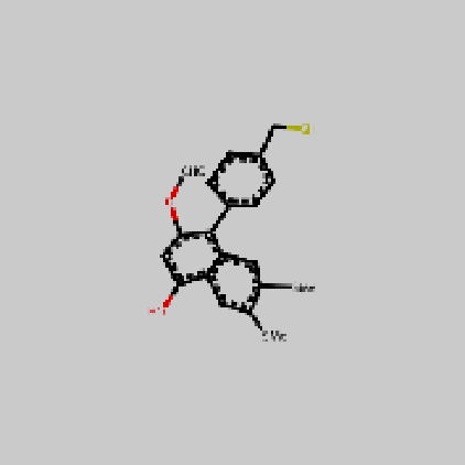 CSc1cc2c(O)cc(OC=O)c(-c3ccc(CS)cc3)c2cc1SC